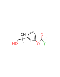 CC(C#N)(CO)c1ccc2c(c1)OC(F)(F)O2